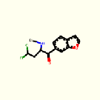 CCNC(CC(Cl)Cl)C(=O)c1ccc2ccoc2c1